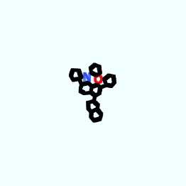 c1ccc(-n2c3ccccc3c3ccc4c(-c5ccc6ccccc6c5)cc5c6ccccc6oc5c4c32)cc1